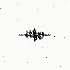 CC[C@H](NC(=O)[C@H](C)NC)C(=O)N1CC2(CC2)CC1Cc1c(-c2[nH]c3cc(F)ccc3c2C[C@@H]2C[C@H](O)CN2C(=O)[C@H](CC)NC(=O)[C@H](C)NC)[nH]c2cc(F)ccc12